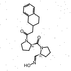 O=C([C@H]1CCCN1C(=O)CC1CCc2ccccc2C1)N1CCC[C@H]1C=NO